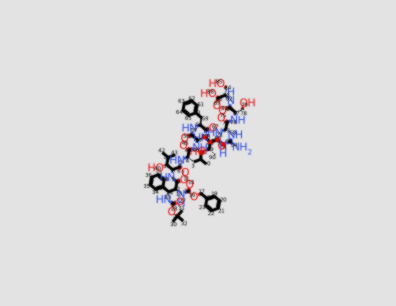 CC(C)C[C@H](NC(=O)[C@@H](NC(=O)[C@@H](NC(=O)OCc1ccccc1)[C@H](NC(=O)OC(C)(C)C)c1ccccc1)[C@H](O)C(C)C)C(=O)N[C@H](CCCNC(=N)N)C(=O)N[C@@H](Cc1ccccc1)C(=O)N[C@H](C(=O)NCC(=O)N[C@@H](CO)C(=O)N[C@@H](CO)C(=O)O)[C@H](C)O